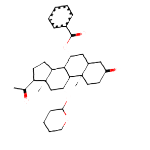 CC(=O)C1CCC2C3C([C@H](OC4CCCCO4)C[C@]12C)[C@@]1(C)CCC(=O)CC1C[C@H]3OC(=O)c1ccccc1